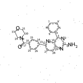 Nc1nc(-c2ccccc2)c2nc(-c3ccc(C(=O)N4CCOCC4)cc3)ccc2n1